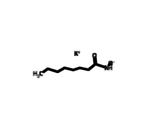 CCCCCCCC(=O)N[O-].[K+]